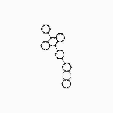 c1ccc(-c2c3ccccc3c(-c3ccc(-c4ccc5c(c4)Oc4ccccc4O5)nc3)c3ccccc23)cc1